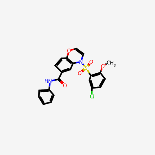 COc1ccc(Cl)cc1S(=O)(=O)N1C=COc2ccc(C(=O)Nc3ccccc3)cc21